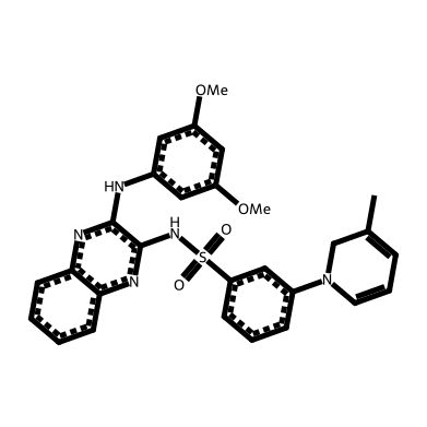 COc1cc(Nc2nc3ccccc3nc2NS(=O)(=O)c2cccc(N3C=CC=C(C)C3)c2)cc(OC)c1